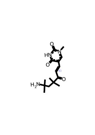 Cn1cc(/C=C/C(=O)C(C)(C)CC(C)(C)N)c(=O)[nH]c1=O